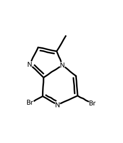 Cc1cnc2c(Br)nc(Br)cn12